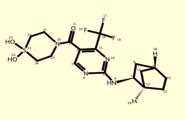 O=C(c1cnc(N[C@H]2C[C@@H]3CC[C@@H]2C3)nc1C(F)(F)F)N1CCS(O)(O)CC1